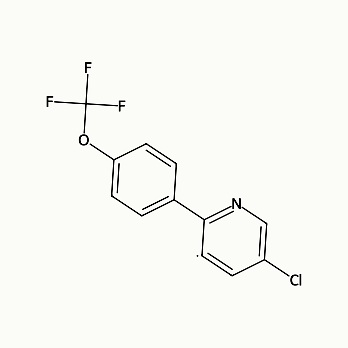 FC(F)(F)Oc1ccc(-c2[c]cc(Cl)cn2)cc1